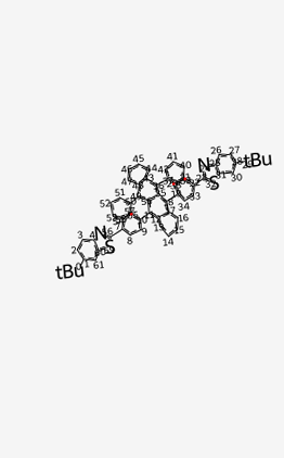 CC(C)(C)c1ccc2nc(-c3ccc(-c4c5ccccc5c(-c5ccc(-c6nc7ccc(C(C)(C)C)cc7s6)cc5)c5c(-c6ccccc6)c6ccccc6c(-c6ccccc6)c45)cc3)sc2c1